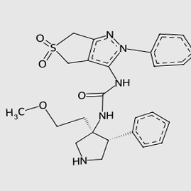 COCC[C@@]1(NC(=O)Nc2c3c(nn2-c2ccccc2)CS(=O)(=O)C3)CNC[C@H]1c1ccccc1